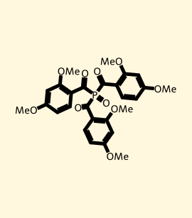 COc1ccc(C(=O)P(=O)(C(=O)c2ccc(OC)cc2OC)C(=O)c2ccc(OC)cc2OC)c(OC)c1